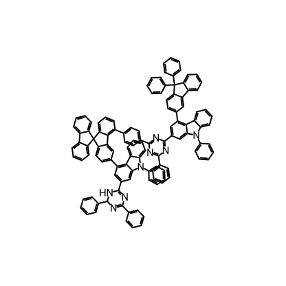 c1ccc(C2=NC(c3ccccc3)NC(c3cc(-c4ccc5c(c4)-c4c(-c6ccc(-c7nc(-c8ccccc8)nc(-c8cc(-c9ccc%10c(c9)-c9ccccc9C%10(c9ccccc9)c9ccccc9)c9c%10ccccc%10n(-c%10ccccc%10)c9c8)n7)cc6)cccc4C54c5ccccc5-c5ccccc54)c4c5ccccc5n(-c5ccccc5)c4c3)=N2)cc1